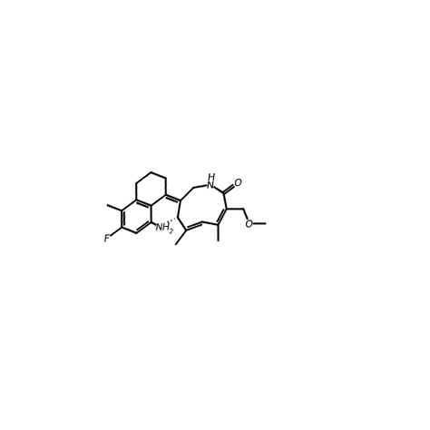 COC/C1=C(C)/C=C(\C)[C@H](C)/C(=C2/CCCc3c(C)c(F)cc(N)c32)CNC1=O